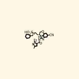 CCn1nc(C)cc1C(=O)Nc1nc2cc(C#N)cc3c2n1[C@@H](CCN(Cc1ccccc1)C(=O)O)CO3